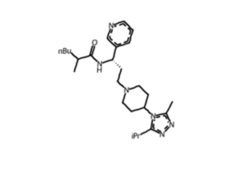 CCCCC(C)C(=O)N[C@@H](CCN1CCC(n2c(C)nnc2C(C)C)CC1)c1cccnc1